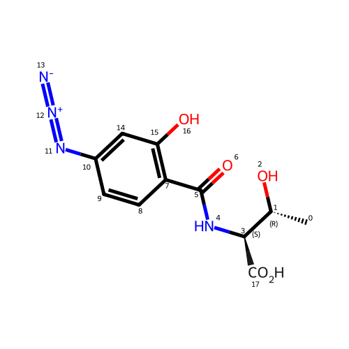 C[C@@H](O)[C@H](NC(=O)c1ccc(N=[N+]=[N-])cc1O)C(=O)O